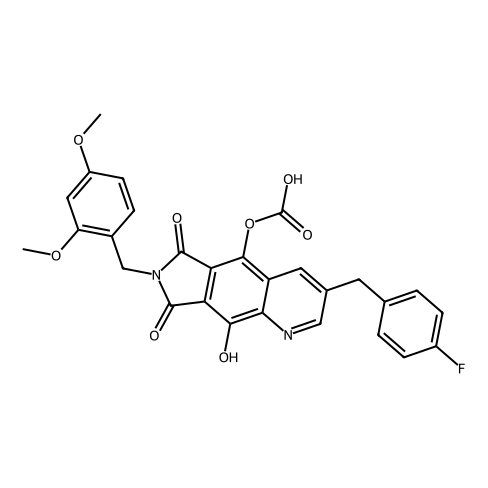 COc1ccc(CN2C(=O)c3c(c(O)c4ncc(Cc5ccc(F)cc5)cc4c3OC(=O)O)C2=O)c(OC)c1